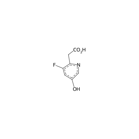 O=C(O)Cc1ncc(O)cc1F